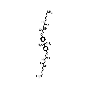 CC(C)(c1ccc(OCC(=O)NCC(=O)NCCCCN)cc1)c1ccc(OCC(=O)NCC(=O)NCCCCN)cc1